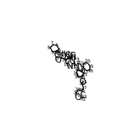 O=C(NC1(C(=O)O)CCCCC1)c1cnc(N2CC3(CCCCC3)c3cc(OCCC4CCOCC4)ccc32)nc1C(F)(F)F